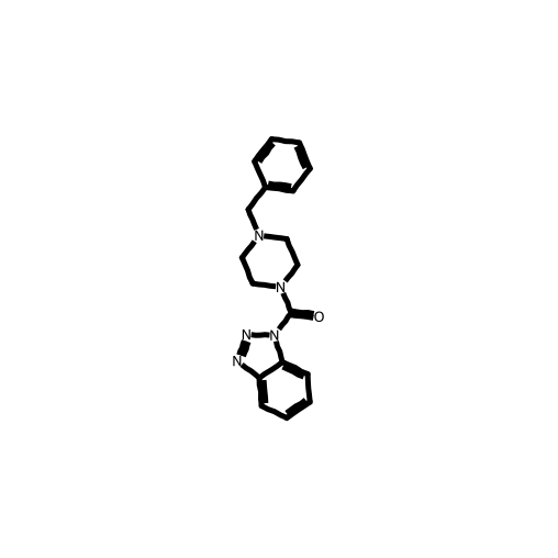 O=C(N1CCN(Cc2ccccc2)CC1)n1nnc2ccccc21